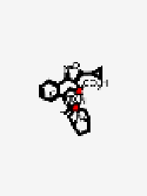 Cc1cc(C(=O)O)nc(N2C3CCC2CC(OCc2c(-c4ccccc4OC(F)F)noc2C2CC2)C3)n1